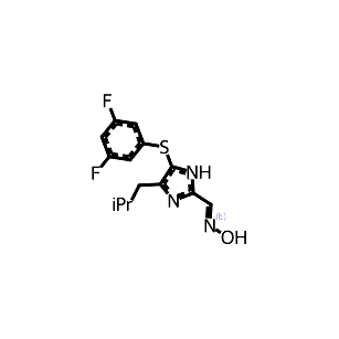 CC(C)Cc1nc(/C=N/O)[nH]c1Sc1cc(F)cc(F)c1